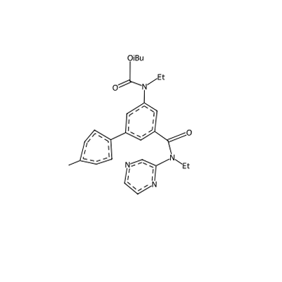 CCN(C(=O)OCC(C)C)c1cc(C(=O)N(CC)c2cnccn2)cc(-c2ccc(C)cc2)c1